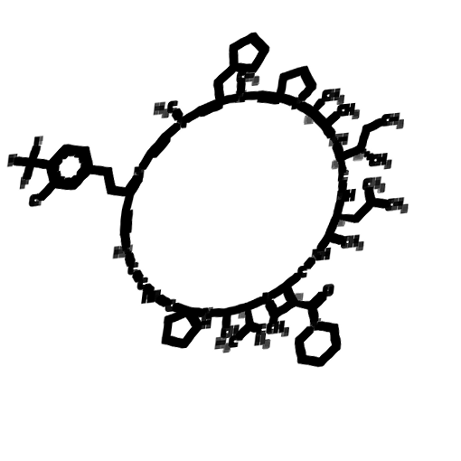 CC[C@H](C)[C@H]1CN[C@@H](CC(C)C)C(C)NCC2[C@@H](C(=O)N3CCCCC3)C(C)N2[C@@H](C(C)C)C(C)NC2(CCCC2)CNCCNC=CC(CCc2ccc(C(F)(F)F)c(Cl)c2)=NC=CN(C)C=C(CC2CCCC2)N(C)C=C2CCCN2[C@@H](C)C(C)N1